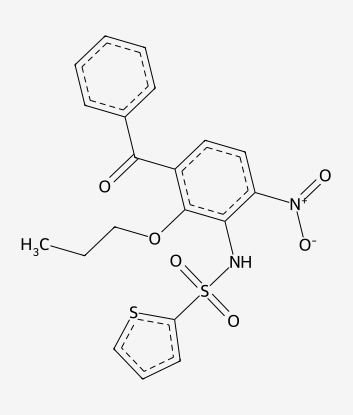 CCCOc1c(C(=O)c2ccccc2)ccc([N+](=O)[O-])c1NS(=O)(=O)c1cccs1